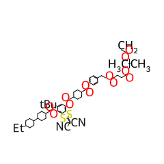 C=CC(=O)OCC(C)(C)COC(=O)CCC(=O)OCCc1ccc(OC(=O)C2CCC(C(=O)Oc3cc(C(C)(C)C)c(OC(=O)C4CCC(C5CCC(CC)CC5)CC4)c4c3SC(=C(C#N)C#N)S4)CC2)cc1